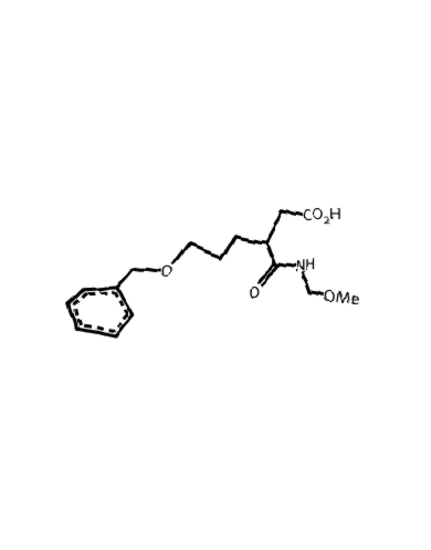 COCNC(=O)C(CCCOCc1ccccc1)CC(=O)O